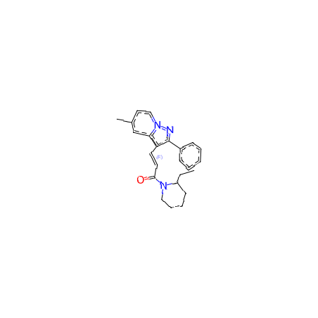 CCC1CCCCN1C(=O)/C=C/c1c(-c2ccccc2)nn2ccc(C)cc12